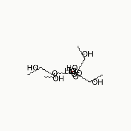 CCCCCC[C@@H](O)C/C=C\CCCCCCCC(=O)C(OC(=O)CCCCCCC/C=C\C[C@](O)(CCCCCC)C(=O)CCCCCCC/C=C\C[C@H](O)CCCCCC)(C(=O)CCCCCCC/C=C\C[C@H](O)CCCCCC)C(O)CO